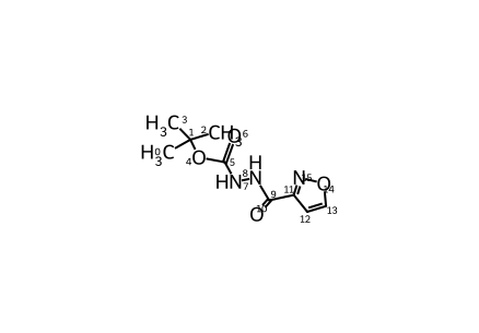 CC(C)(C)OC(=O)NNC(=O)c1ccon1